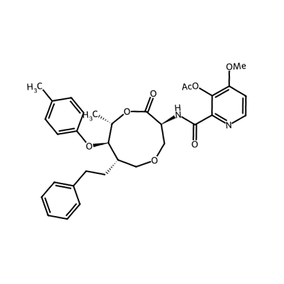 COc1ccnc(C(=O)N[C@H]2COC[C@H](CCc3ccccc3)[C@@H](Oc3ccc(C)cc3)[C@H](C)OC2=O)c1OC(C)=O